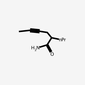 CC#CCC(CCC)C(N)=O